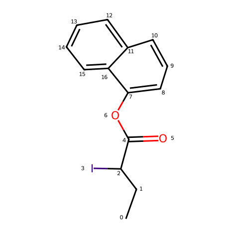 CCC(I)C(=O)Oc1cccc2ccccc12